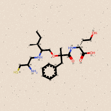 CC[C@H](C)C(COC(C)(Cc1ccccc1)C(=O)N[C@H](CCO)C(=O)O)NCC(N)CS